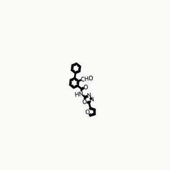 O=Cc1c(C(=O)Nc2nnc(-c3ccco3)o2)cccc1-c1ccccc1